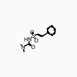 CN(C)C(=O)NS(=O)(=O)/C=C/c1ccccc1